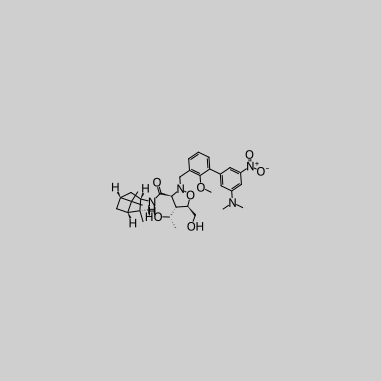 COc1c(CN2O[C@@H](CO)[C@H]([C@H](C)O)[C@H]2C(=O)N[C@H]2C[C@H]3C[C@@H]([C@@H]2C)C3(C)C)cccc1-c1cc(N(C)C)cc([N+](=O)[O-])c1